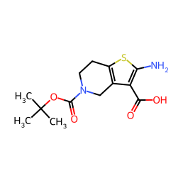 CC(C)(C)OC(=O)N1CCc2sc(N)c(C(=O)O)c2C1